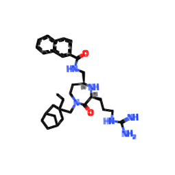 CCC1(CN2CC[C@@H](CNC(=O)c3ccc4ccccc4c3)N[C@@H](CCCNC(=N)N)C2=O)CC2CCC(C2)C1